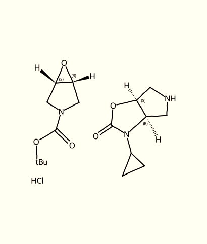 CC(C)(C)OC(=O)N1C[C@@H]2O[C@@H]2C1.Cl.O=C1O[C@H]2CNC[C@H]2N1C1CC1